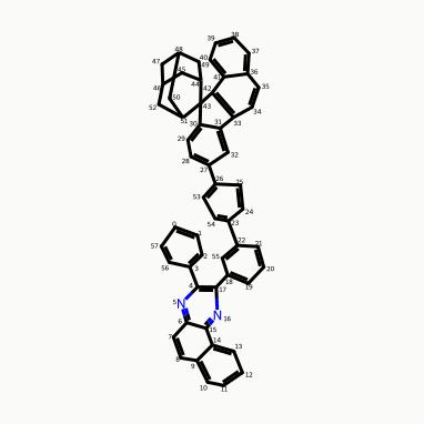 c1ccc(-c2nc3ccc4ccccc4c3nc2-c2cccc(-c3ccc(-c4ccc5c(c4)-c4ccc6ccccc6c4C54C5CC6CC(C5)CC4C6)cc3)c2)cc1